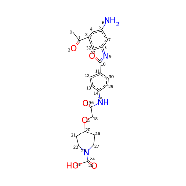 CC(=O)c1cc(N)cc2nc(-c3ccc(NC(=O)COC4CCN(C(=O)O)CC4)cc3)oc12